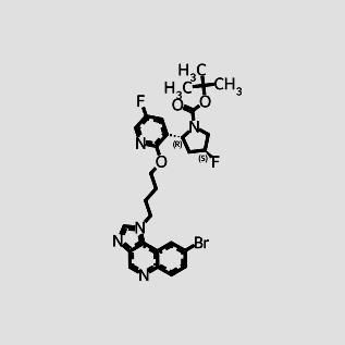 CC(C)(C)OC(=O)N1C[C@@H](F)C[C@@H]1c1cc(F)cnc1OCCCCn1cnc2cnc3ccc(Br)cc3c21